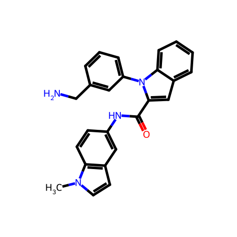 Cn1ccc2cc(NC(=O)c3cc4ccccc4n3-c3cccc(CN)c3)ccc21